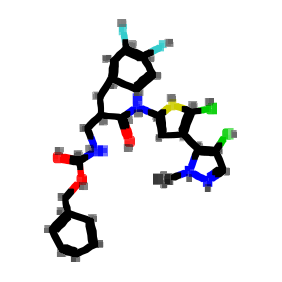 Cn1ncc(Cl)c1-c1cc(NC(=O)C(CNC(=O)OCc2ccccc2)Cc2ccc(F)c(F)c2)sc1Cl